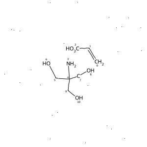 C=CC(=O)O.NC(CO)(CO)CO